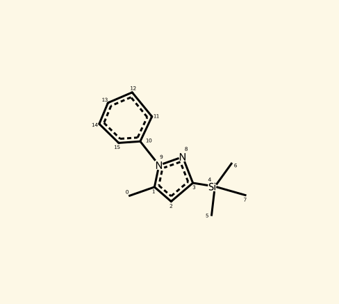 Cc1cc([Si](C)(C)C)nn1-c1ccccc1